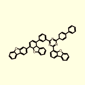 C1=CC(c2nc(-c3cccc(C4=CC=C(c5ccc6c(c5)oc5ccccc56)C5Oc6ccccc6C45)c3)nc(-c3cccc4c3oc3ccccc34)n2)CC=C1c1ccccc1